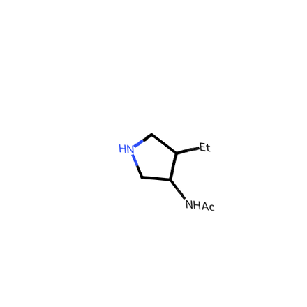 CCC1CNCC1NC(C)=O